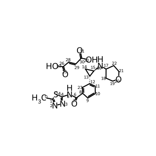 Cc1nnc(NC(=O)c2cccc([C@@H]3C[C@H]3NC3CCOCC3)c2)s1.O=C(O)/C=C/C(=O)O